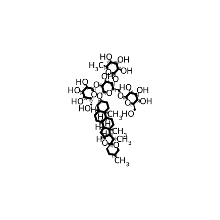 C[C@H]1CC[C@@]2(OC1)O[C@H]1C[C@H]3[C@@H]4CC[C@@H]5C[C@@H](O[C@@H]6O[C@H](CO[C@@H]7O[C@H](CO)[C@@H](O)[C@H](O)[C@H]7O)[C@@H](O[C@@H]7O[C@@H](C)[C@H](O)[C@@H](O)[C@H]7O)[C@H](O)[C@H]6O[C@@H]6O[C@H](CO)[C@@H](O)[C@H](O)[C@H]6O)CC[C@]5(C)[C@H]4CC[C@]3(C)[C@H]1[C@@H]2C